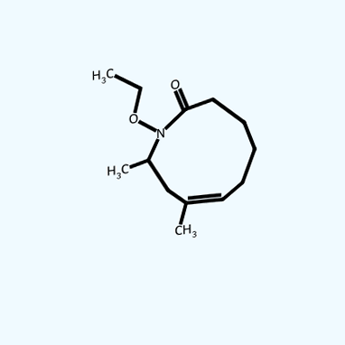 CCON1C(=O)CCCCC=C(C)CC1C